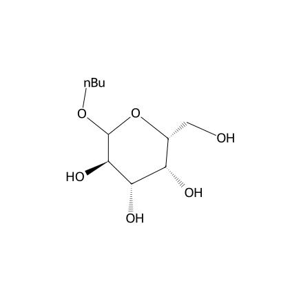 CCCCOC1O[C@H](CO)[C@H](O)[C@H](O)[C@H]1O